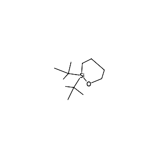 CC(C)(C)[Si]1(C(C)(C)C)CCCCO1